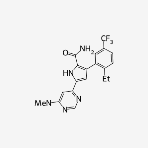 CCc1ccc(C(F)(F)F)cc1-c1cc(-c2cc(NC)ncn2)[nH]c1C(N)=O